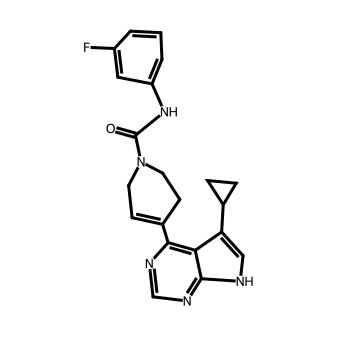 O=C(Nc1cccc(F)c1)N1CC=C(c2ncnc3[nH]cc(C4CC4)c23)CC1